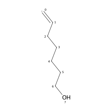 [CH]=CCCCCCO